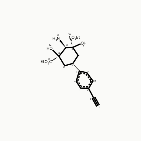 C#Cc1ccc([C@H]2C[C@@](O)(C(=O)OCC)[C@H](N)[C@@](O)(C(=O)OCC)C2)cc1